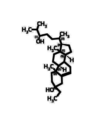 CC[C@]1(O)CC[C@@]2(C)C(=CCC3[C@@H]4CC[C@H]([C@H](C)CC[C@@H](O)C(C)C)[C@@]4(C)CC[C@@H]32)C1